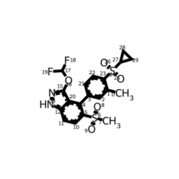 Cc1cc(-c2c(S(C)(=O)=O)ccc3[nH]nc(OC(F)F)c23)ccc1S(=O)(=O)C1CC1